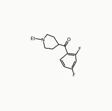 CCN1CCC(C(=O)c2ccc(F)cc2F)CC1